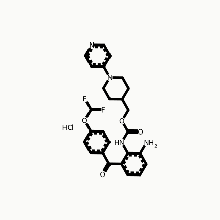 Cl.Nc1cccc(C(=O)c2ccc(OC(F)F)cc2)c1NC(=O)OCC1CCN(c2ccncc2)CC1